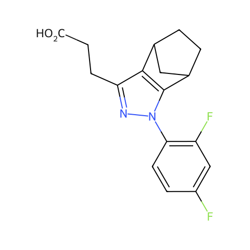 O=C(O)CCc1nn(-c2ccc(F)cc2F)c2c1C1CCC2C1